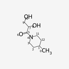 CC1CCN(C(=O)C(O)CO)CC1